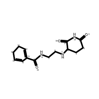 O=C1CCC(NCCNC(=O)C2=CCCC=C2)C(=O)N1